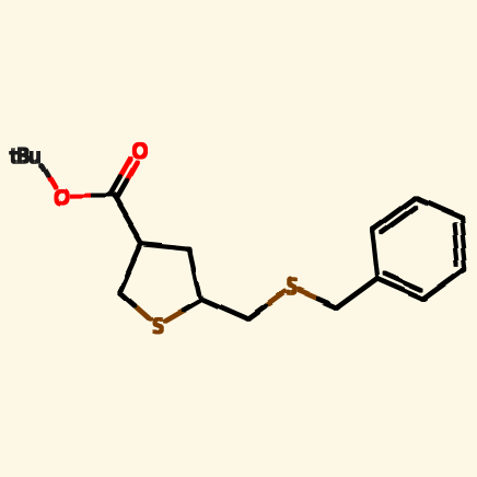 CC(C)(C)OC(=O)C1CSC(CSCc2ccccc2)C1